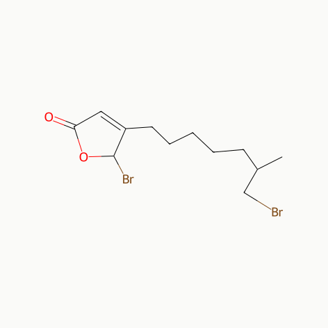 CC(CBr)CCCCCC1=CC(=O)OC1Br